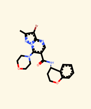 Cc1nn2c(N3CCOCC3)c(C(=O)N[C@H]3CCOc4ccccc43)cnc2c1Br